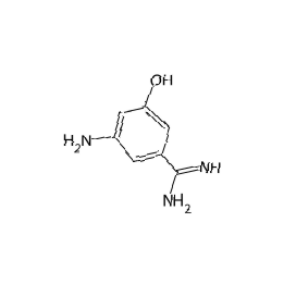 N=C(N)c1cc(N)cc(O)c1